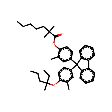 CCCCCC(C)(C)C(=O)Oc1ccc(C2(c3ccc(OC(C)(CC)CCC)c(C)c3)c3ccccc3-c3ccccc32)cc1C